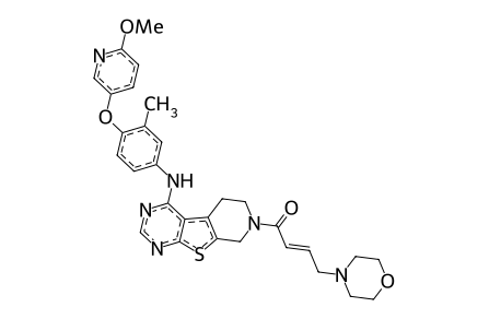 COc1ccc(Oc2ccc(Nc3ncnc4sc5c(c34)CCN(C(=O)/C=C/CN3CCOCC3)C5)cc2C)cn1